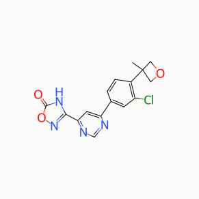 CC1(c2ccc(-c3cc(-c4noc(=O)[nH]4)ncn3)cc2Cl)COC1